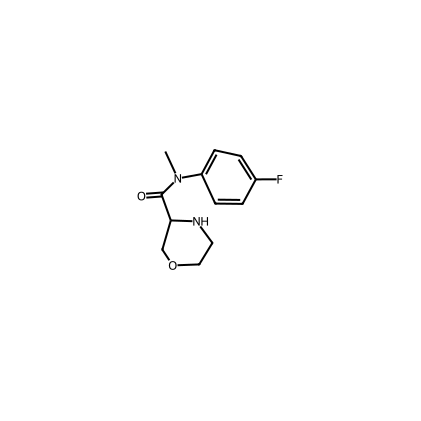 CN(C(=O)C1COCCN1)c1ccc(F)cc1